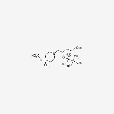 CCCCCCCCCCCCC(CN1CCC(C)(OC(=O)O)CC1)O[Si](C)(C)C(C)(C)CCC